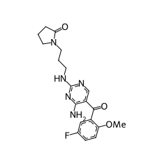 COc1ccc(F)cc1C(=O)c1cnc(NCCCN2CCCC2=O)nc1N